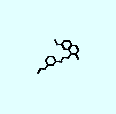 COc1ccc2ccc(=O)n(CCNC3CCCC(OC=O)C3)c2n1